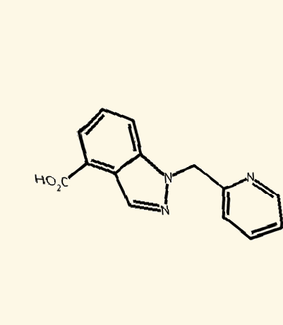 O=C(O)c1cccc2c1cnn2Cc1ccccn1